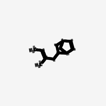 CC=C(C)CC1CC2C=CC1C2